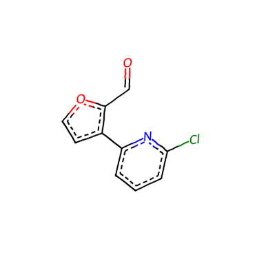 O=Cc1occc1-c1cccc(Cl)n1